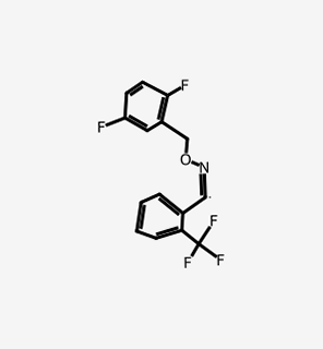 Fc1ccc(F)c(CO/N=[C]\c2ccccc2C(F)(F)F)c1